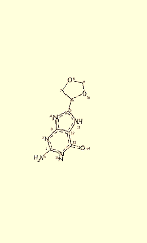 Nc1nc2nc(C3COCO3)[nH]c2c(=O)[nH]1